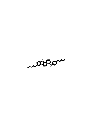 CCCCCc1ccc2sc3c(ccc4c3ccc3c5cc(CCCCC)ccc5sc34)c2c1